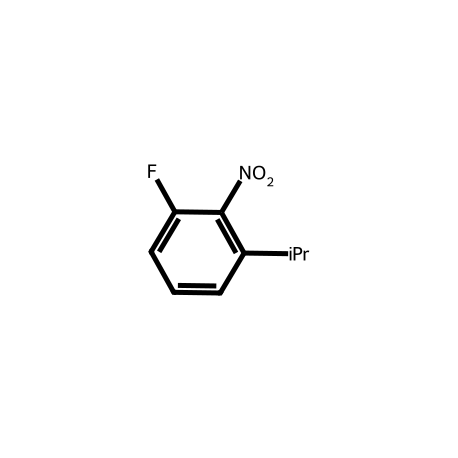 [CH2]C(C)c1cccc(F)c1[N+](=O)[O-]